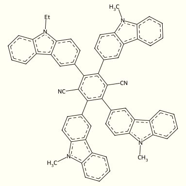 CCn1c2ccccc2c2cc(-c3c(C#N)c(-c4ccc5c(c4)c4ccccc4n5C)c(-c4ccc5c(c4)c4ccccc4n5C)c(C#N)c3-c3ccc4c(c3)c3ccccc3n4C)ccc21